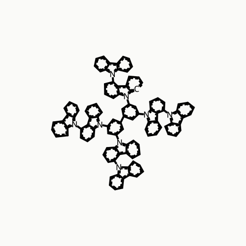 c1ccc2c(c1)c1ccccc1n2-c1cccc2c1c1ccccc1n2-c1cc(-c2cc(-n3c4ccccc4c4c(-n5c6ccccc6c6ccccc65)cccc43)cc(-n3c4ccccc4c4c(-n5c6ccccc6c6ccccc65)cccc43)c2)cc(-n2c3ccccc3c3c(-n4c5ccccc5c5ccccc54)cccc32)c1